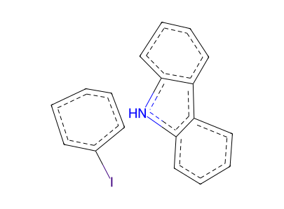 Ic1ccccc1.c1ccc2c(c1)[nH]c1ccccc12